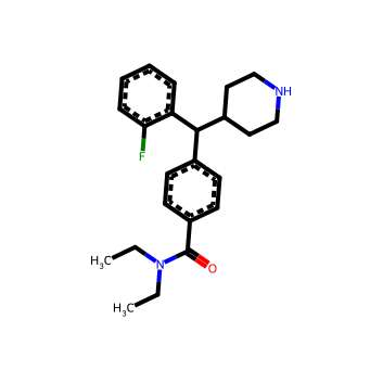 CCN(CC)C(=O)c1ccc(C(c2ccccc2F)C2CCNCC2)cc1